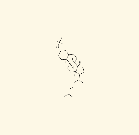 CC(C)CCCC(C)C1CC[C@H]2[C@@H]3CC=C4C[C@@H](OC(C)(C)C)CC[C@]4(C)[C@H]3CC[C@]12C